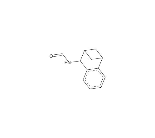 O=CNC1c2ccccc2C2CC1C2